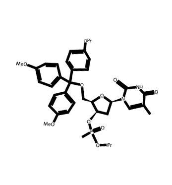 CCCc1ccc(C(OC[C@H]2O[C@@H](n3cc(C)c(=O)[nH]c3=O)C[C@H]2OP(C)(=O)OC(C)C)(c2ccc(OC)cc2)c2ccc(OC)cc2)cc1